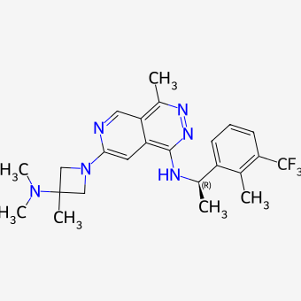 Cc1c([C@@H](C)Nc2nnc(C)c3cnc(N4CC(C)(N(C)C)C4)cc23)cccc1C(F)(F)F